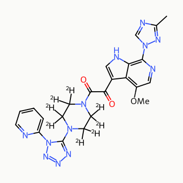 [2H]C1([2H])N(C(=O)C(=O)c2c[nH]c3c(-n4cnc(C)n4)ncc(OC)c23)C([2H])([2H])C([2H])([2H])N(c2nnnn2-c2ccccn2)C1([2H])[2H]